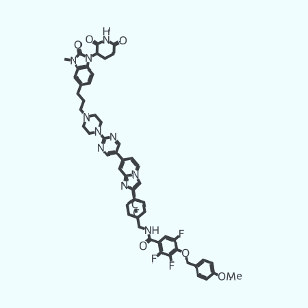 COc1ccc(COc2c(F)cc(C(=O)NCC34CCC(c5cn6ccc(-c7cnc(N8CCN(CCCc9ccc%10c(c9)n(C)c(=O)n%10C9CCC(=O)NC9=O)CC8)nc7)cc6n5)(CC3)CC4)c(F)c2F)cc1